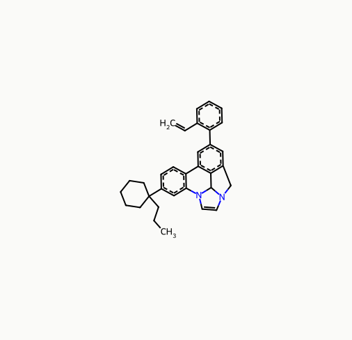 C=Cc1ccccc1-c1cc2c3c(c1)-c1ccc(C4(CCC)CCCCC4)cc1N1C=CN(C2)C31